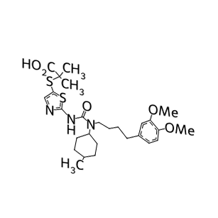 COc1ccc(CCCCN(C(=O)Nc2ncc(SC(C)(C)C(=O)O)s2)C2CCC(C)CC2)cc1OC